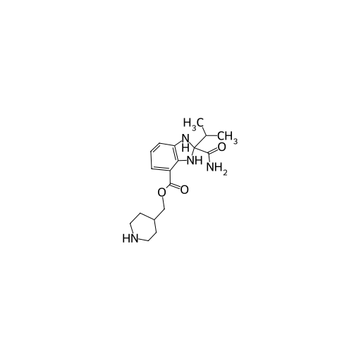 CC(C)C1(C(N)=O)Nc2cccc(C(=O)OCC3CCNCC3)c2N1